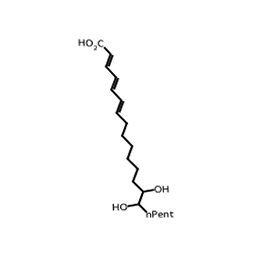 CCCCCC(O)C(O)CCCCCCC=CC=CC=CC(=O)O